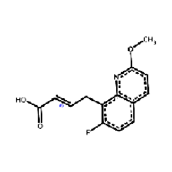 COc1ccc2ccc(F)c(C/C=C/C(=O)O)c2n1